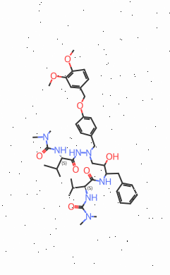 COc1ccc(COc2ccc(CN(CC(O)C(Cc3ccccc3)NC(=O)[C@@H](NC(=O)N(C)C)C(C)C)NC(=O)[C@@H](NC(=O)N(C)C)C(C)C)cc2)cc1OC